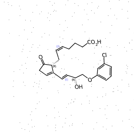 O=C(O)CCC/C=C\C[C@H]1C(=O)CC=C1/C=C/[C@@H](O)COc1cccc(Cl)c1